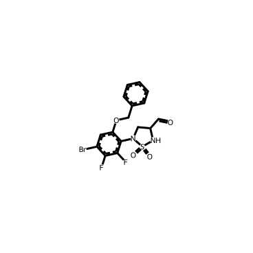 O=CC1CN(c2c(OCc3ccccc3)cc(Br)c(F)c2F)S(=O)(=O)N1